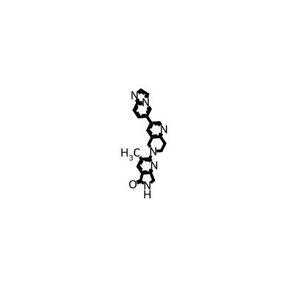 Cc1cc2c(nc1N1CCc3ncc(-c4ccc5nccn5c4)cc3C1)CNC2=O